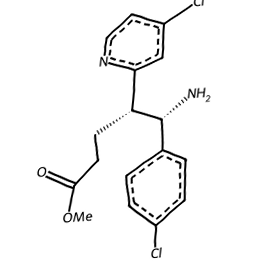 COC(=O)CC[C@H](c1cc(Cl)ccn1)[C@H](N)c1ccc(Cl)cc1